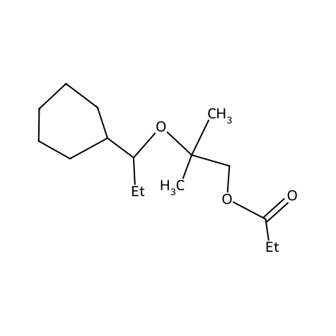 CCC(=O)OCC(C)(C)OC(CC)C1CCCCC1